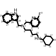 Fc1cccc(CN(CCCCNC2CCCCC2)Cc2c[nH]c3ccccc23)n1